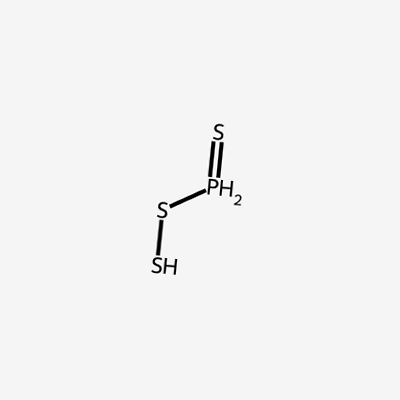 S=[PH2]SS